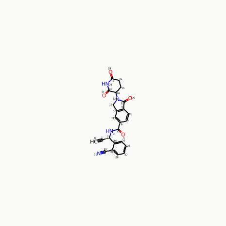 C#C[C@@H](NC(=O)c1ccc2c(c1)CN(C1CCC(=O)NC1=O)C2=O)c1ccccc1C#N